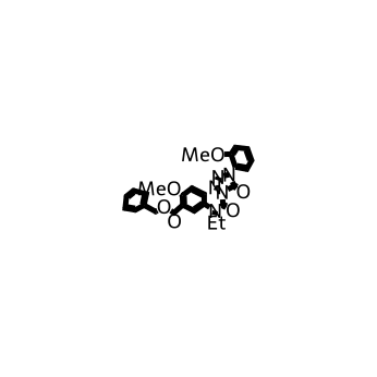 CCN(C(=O)n1nnn(-c2ccccc2OC)c1=O)c1ccc(OC)c(C(=O)OCc2ccccc2)c1